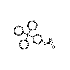 O=[PH2][O-].c1ccc([P+](c2ccccc2)(c2ccccc2)c2ccccc2)cc1